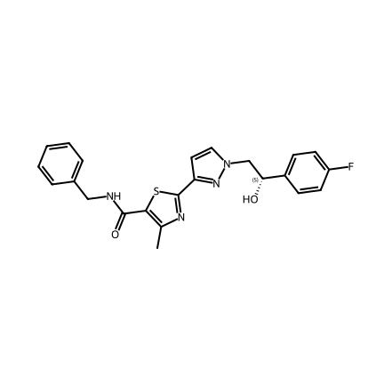 Cc1nc(-c2ccn(C[C@@H](O)c3ccc(F)cc3)n2)sc1C(=O)NCc1ccccc1